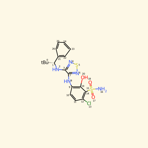 CC(C)(C)[C@@H](Nc1nsnc1Nc1ccc(Cl)c(S(N)(=O)=O)c1O)c1ccccc1